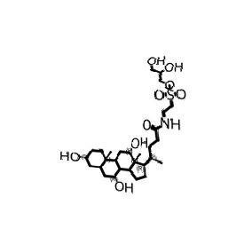 C[C@H](CCC(=O)NCCS(=O)(=O)OCC(O)CO)[C@H]1CCC2C3C(C[C@H](O)[C@@]21C)[C@@]1(C)CC[C@@H](O)CC1C[C@H]3O